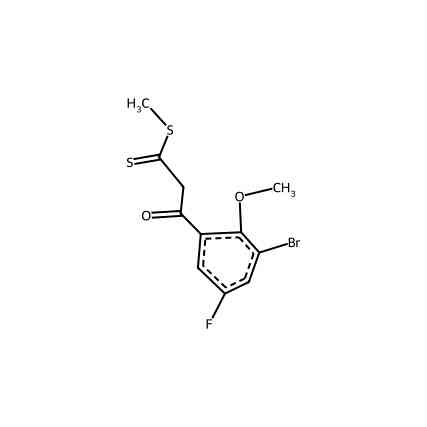 COc1c(Br)cc(F)cc1C(=O)CC(=S)SC